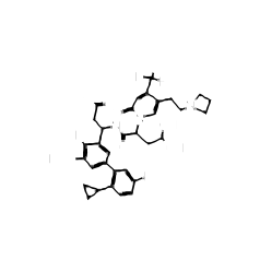 Cc1cc(-c2cc(F)ccc2C2CC2)cc(C(CC(=O)O)NC(=O)C(CC(C)C)n2cc(CCN3CCC3)c(C(F)(F)F)cc2=O)c1F